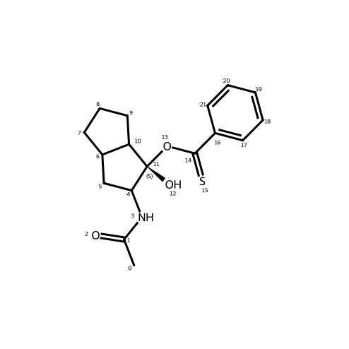 CC(=O)NC1CC2CCCC2[C@]1(O)OC(=S)c1ccccc1